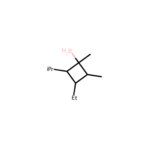 BC1(C)C(C)C(CC)C1C(C)C